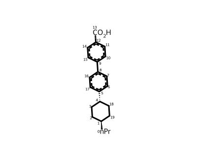 CCC[C@H]1CC[C@H](c2ccc(-c3ccc(C(=O)O)cc3)cc2)CC1